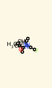 CC1(C)CCC(C)(C)c2cc(-c3cc(-c4nc(-c5ccc(-c6ccc(F)cc6)cc5)nc(-c5ccc6ccccc6c5)n4)cc4c3oc3ccccc34)ccc21